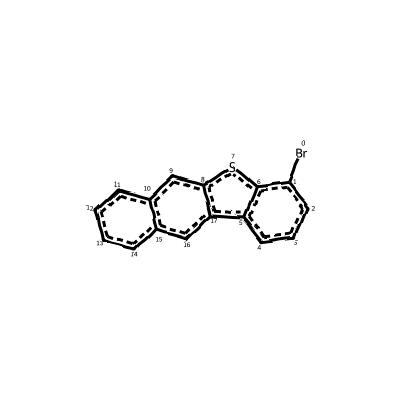 Brc1cccc2c1sc1cc3ccccc3cc12